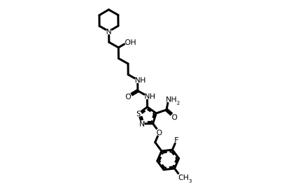 Cc1ccc(COc2nsc(NC(=O)NCCCC(O)CN3CCCCC3)c2C(N)=O)c(F)c1